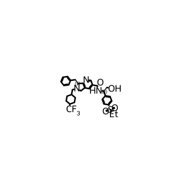 CCS(=O)(=O)c1ccc([C@H](CO)NC(=O)c2cnc3c(c2)CN(CC2CCC(C(F)(F)F)CC2)[C@H]3Cc2ccccc2)cc1